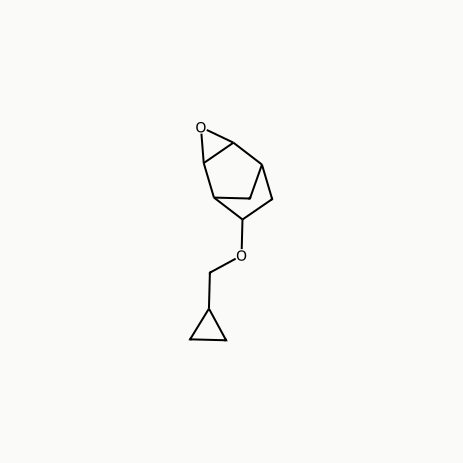 C1CC1COC1CC2CC1C1OC21